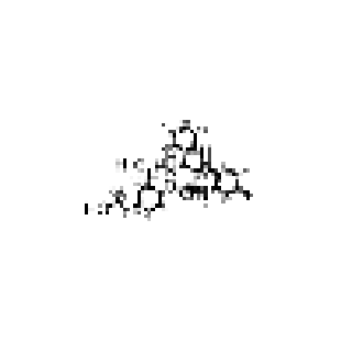 COc1ccc(CC(=O)O)cc1[C@@H](C)CN[C@H](c1ccccc1)[C@H]1CNc2cc(F)cnc2N1